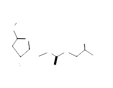 COC1C[C@@H](O)[C@@H](COC(=O)OCC(C)C)O1